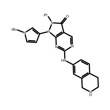 CC(C)n1c(=O)c2cnc(Nc3ccc4c(c3)CNCC4)nc2n1-c1ccn(C(C)(C)C)c1